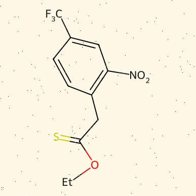 CCOC(=S)Cc1ccc(C(F)(F)F)cc1[N+](=O)[O-]